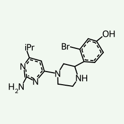 CC(C)c1cc(N2CCNC(c3ccc(O)cc3Br)C2)nc(N)n1